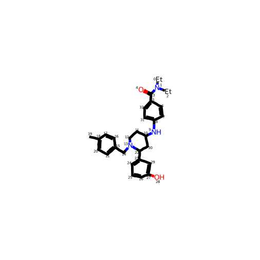 CCN(CC)C(=O)c1ccc(NC2CCN(Cc3ccc(C)cc3)C(c3cccc(O)c3)C2)cc1